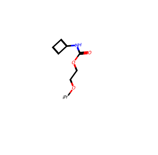 CC(C)OCCOC(=O)NC1CCC1